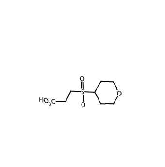 O=C(O)CCS(=O)(=O)C1CCOCC1